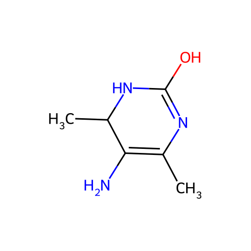 CC1=C(N)C(C)NC(O)=N1